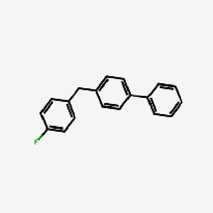 Fc1ccc(Cc2ccc(-c3ccccc3)cc2)cc1